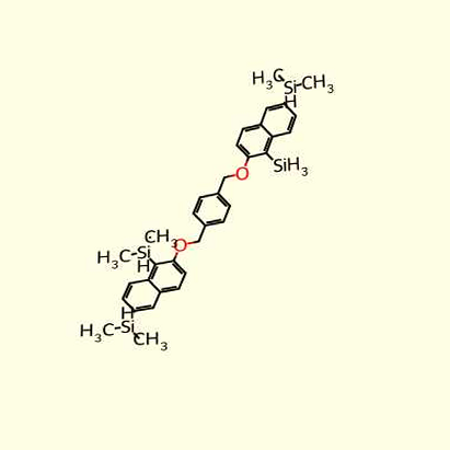 C[SiH](C)c1ccc2c([SiH3])c(OCc3ccc(COc4ccc5cc([SiH](C)C)ccc5c4[SiH](C)C)cc3)ccc2c1